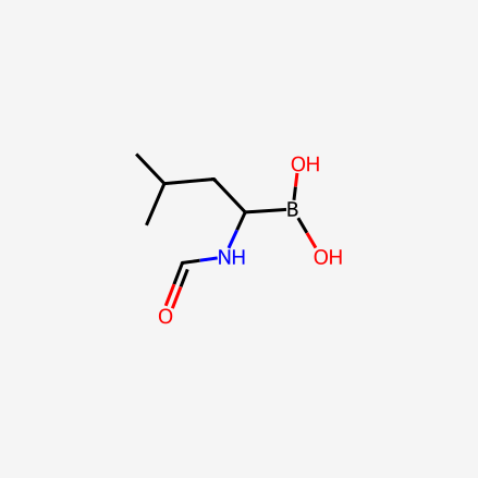 CC(C)CC(NC=O)B(O)O